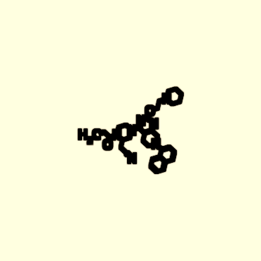 C=CC(=O)N1CCN(c2nc(OCCN3CCCCC3)nc3c2CCN(c2cccc4ccccc24)C3)CC1CC#N